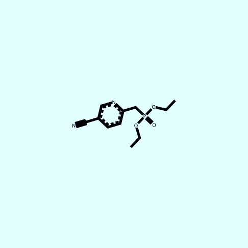 CCOP(=O)(Cc1ccc(C#N)cn1)OCC